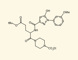 CCOC(=O)N1CCN(C(=O)C(CCC(=O)OC(C)(C)C)NC(=O)c2cc(O)n(-c3cccc(OC)c3)n2)CC1